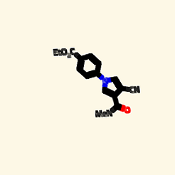 CCOC(=O)c1ccc(-n2cc(C#N)c(C(=O)NC)c2)cc1